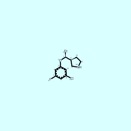 CC[C@H](Oc1cc(F)cc(Cl)c1)[C@H]1CCNC1